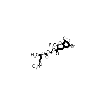 Cc1cc(Br)cc2c1O[C@H](C(F)(F)F)C(C(=O)OCOC(=O)OC(C)CCO[N+](=O)[O-])=C2